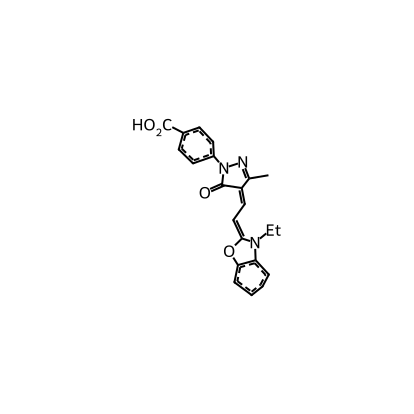 CCN1C(=CC=C2C(=O)N(c3ccc(C(=O)O)cc3)N=C2C)Oc2ccccc21